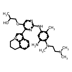 Cc1cc(N(C)CCN(C)C)c(N)cc1Nc1ncc(OCC(C)O)c(-c2cn3c4c(cccc24)CCC3)n1